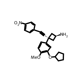 COc1ccc([C@]2(C#Cc3ccc([N+](=O)[O-])cc3)C[C@H](N)C2)cc1OC1CCCC1